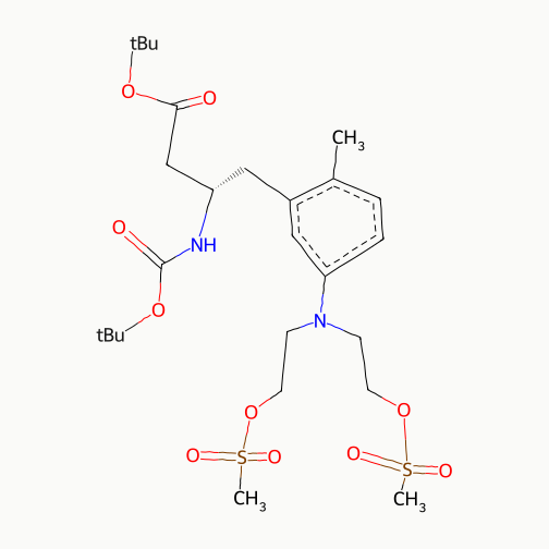 Cc1ccc(N(CCOS(C)(=O)=O)CCOS(C)(=O)=O)cc1C[C@@H](CC(=O)OC(C)(C)C)NC(=O)OC(C)(C)C